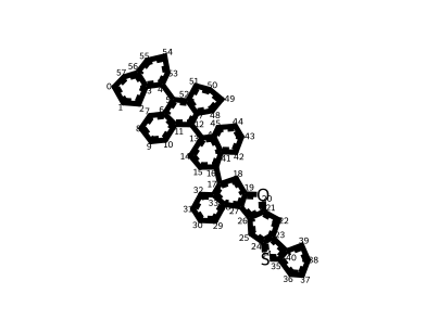 c1ccc2c(-c3c4ccccc4c(-c4ccc(-c5cc6oc7cc8c(cc7c6c6ccccc56)sc5ccccc58)c5ccccc45)c4ccccc34)cccc2c1